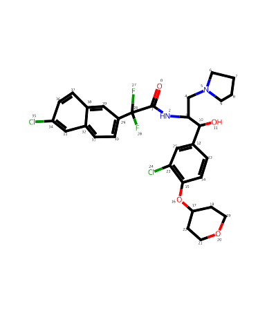 O=C(NC(CN1CCCC1)C(O)c1ccc(OC2CCOCC2)c(Cl)c1)C(F)(F)c1ccc2cc(Cl)ccc2c1